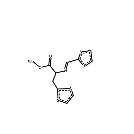 CC(C)(C)OC(=O)C(Cc1nccs1)N=Cc1nccs1